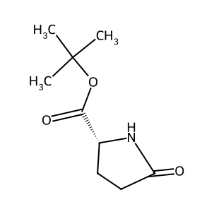 CC(C)(C)OC(=O)[C@H]1CCC(=O)N1